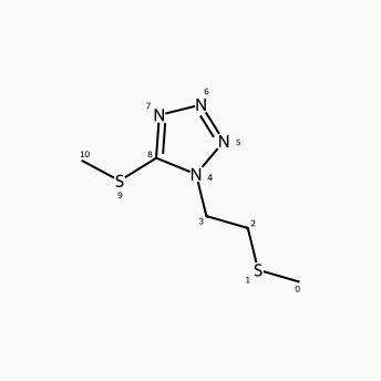 CSCCn1nnnc1SC